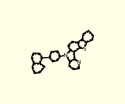 c1ccc2c(-c3ccc(-n4c5cccnc5c5c6sc7ccccc7c6ccc54)cc3)cccc2c1